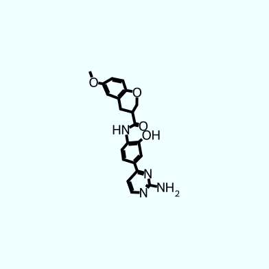 COc1ccc2c(c1)CC(C(=O)Nc1ccc(-c3ccnc(N)n3)cc1O)CO2